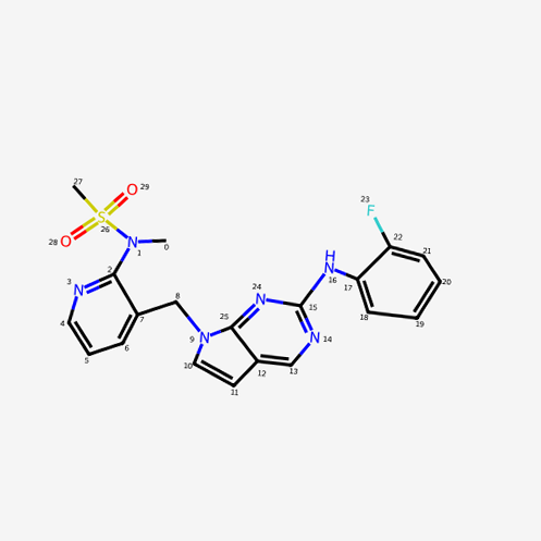 CN(c1ncccc1Cn1ccc2cnc(Nc3ccccc3F)nc21)S(C)(=O)=O